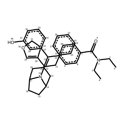 CCN(CC)C(=O)c1ccc(C(=C2CC3CCC(C2)N3C(Cc2ccccc2)C2=COCO2)c2cccc(O)c2)cc1